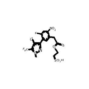 Cn1nc(-c2cc(CC(=O)OCCS(=O)(=O)O)c([N+](=O)[O-])cc2F)c(Cl)c1C(F)(F)F